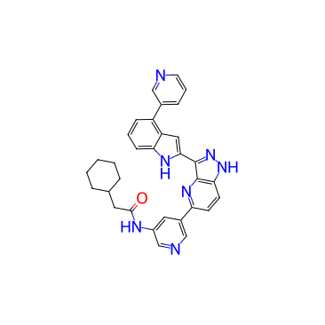 O=C(CC1CCCCC1)Nc1cncc(-c2ccc3[nH]nc(-c4cc5c(-c6cccnc6)cccc5[nH]4)c3n2)c1